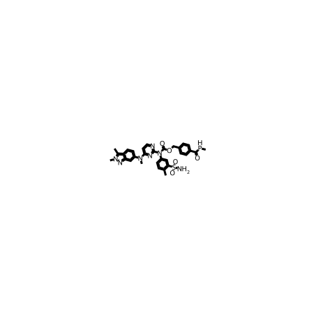 CPC(=O)c1ccc(COC(=O)N(c2ccc(C)c(S(N)(=O)=O)c2)c2nccc(N(C)c3ccc4c(C)n(C)nc4c3)n2)cc1